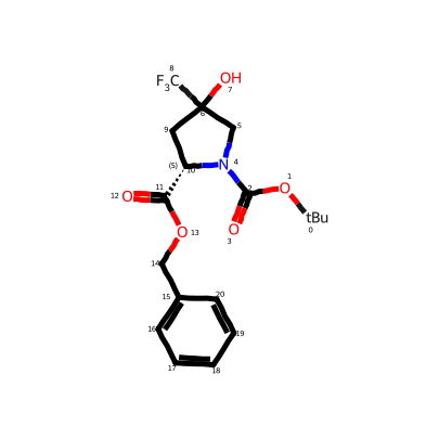 CC(C)(C)OC(=O)N1CC(O)(C(F)(F)F)C[C@H]1C(=O)OCc1ccccc1